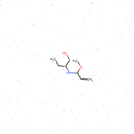 C=CC(NC(CC)CO)OC